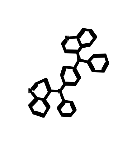 c1ccc(N(c2ccc(N(c3ccccc3)c3ccnc4ccccc34)cc2)c2ccnc3ccccc23)cc1